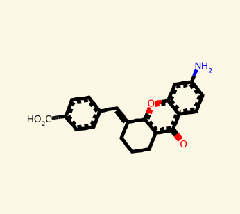 Nc1ccc2c(=O)c3c(oc2c1)C(=Cc1ccc(C(=O)O)cc1)CCC3